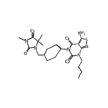 CCCCn1c(=O)n(C2CCC(CN3C(=O)N(C)C(=O)C3(C)C)CC2)c(=O)c2c(N)snc21